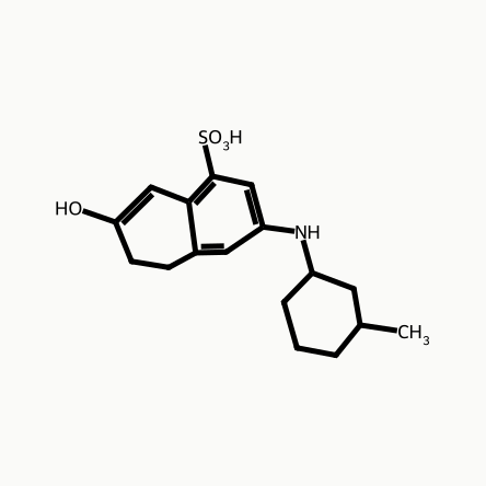 CC1CCCC(Nc2cc3c(c(S(=O)(=O)O)c2)C=C(O)CC3)C1